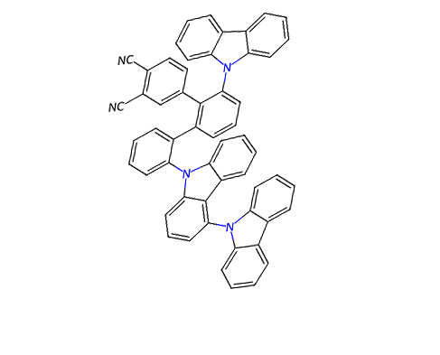 N#Cc1ccc(-c2c(-c3ccccc3-n3c4ccccc4c4c(-n5c6ccccc6c6ccccc65)cccc43)cccc2-n2c3ccccc3c3ccccc32)cc1C#N